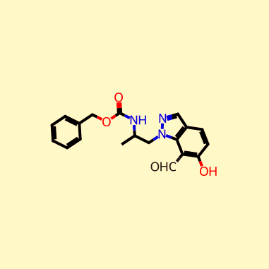 CC(Cn1ncc2ccc(O)c(C=O)c21)NC(=O)OCc1ccccc1